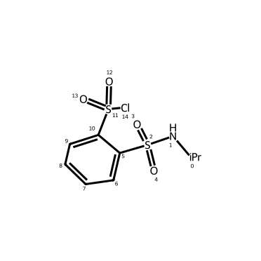 CC(C)NS(=O)(=O)c1ccccc1S(=O)(=O)Cl